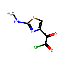 [CH2]Nc1nc(C(=O)C(=O)Cl)cs1